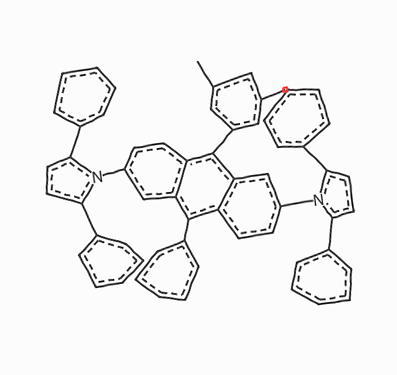 Cc1cc(C)cc(-c2c3ccc(-n4c(-c5ccccc5)ccc4-c4ccccc4)cc3c(-c3ccccc3)c3ccc(-n4c(-c5ccccc5)ccc4-c4ccccc4)cc23)c1